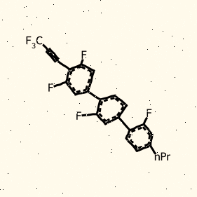 CCCc1ccc(-c2ccc(-c3cc(F)c(C#CC(F)(F)F)c(F)c3)c(F)c2)c(F)c1